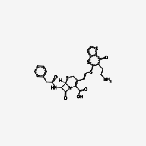 NCCc1c(S/C=C/C2=C(C(=O)O)N3C(=O)C(NC(=O)Cc4ccccc4)[C@H]3SC2)sc2ccsc2c1=O